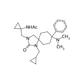 CC(=O)NC1(CN2CC3(CCC(c4ccccc4)(N(C)C)CC3)N(CC3CC3)C2=O)CC1